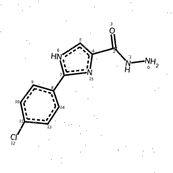 NNC(=O)c1c[nH]c(-c2ccc(Cl)cc2)n1